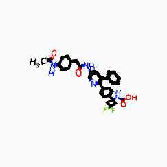 CC(=O)NC1CCC(CC(=O)Nc2cnc(-c3ccc(C4(NC(=O)O)CC(F)(F)C4)cc3)c(-c3ccccc3)c2)CC1